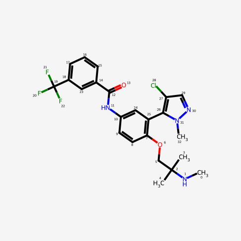 CNC(C)(C)COc1ccc(NC(=O)c2cccc(C(F)(F)F)c2)cc1-c1c(Cl)cnn1C